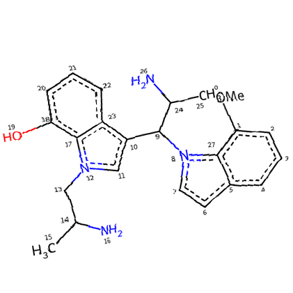 COc1cccc2ccn(C(c3cn(CC(C)N)c4c(O)cccc34)C(C)N)c12